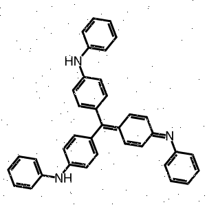 C1=CC(=C(c2ccc(Nc3ccccc3)cc2)c2ccc(Nc3ccccc3)cc2)C=CC1=Nc1ccccc1